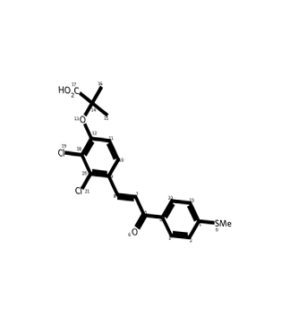 CSc1ccc(C(=O)C=Cc2ccc(OC(C)(C)C(=O)O)c(Cl)c2Cl)cc1